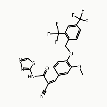 COc1cc(C=C(C#N)C(=O)Nc2nncs2)ccc1OCc1ccc(C(F)(F)F)cc1C(F)(F)F